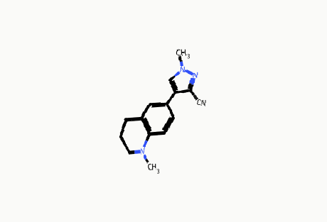 CN1CCCc2cc(-c3cn(C)nc3C#N)ccc21